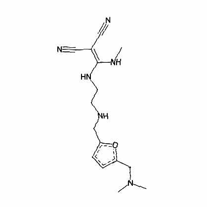 CNC(NCCNCc1ccc(CN(C)C)o1)=C(C#N)C#N